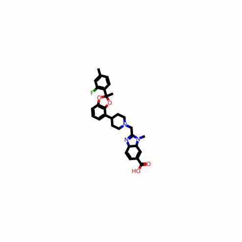 Cc1ccc(C2(C)Oc3cccc(C4CCN(CC5=NC6C=CC(C(=O)O)=CC6N5C)CC4)c3O2)c(F)c1